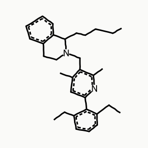 CCCCCC1c2ccccc2CCN1Cc1c(C)cc(-c2c(CC)cccc2CC)nc1C